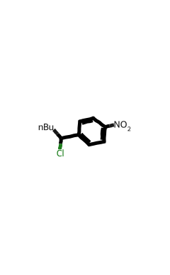 CCCCC(Cl)c1ccc([N+](=O)[O-])cc1